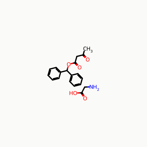 CC(=O)CC(=O)OC(c1ccccc1)c1ccccc1.NCC(=O)O